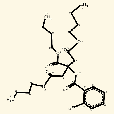 CCCCOC(=O)CC(CC(=O)OCCCC)(OC(=O)c1ccccc1F)C(=O)OCCCC